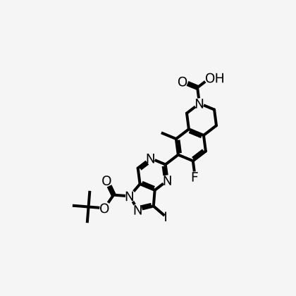 Cc1c2c(cc(F)c1-c1ncc3c(n1)c(I)nn3C(=O)OC(C)(C)C)CCN(C(=O)O)C2